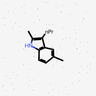 CCCc1c(C)[nH]c2ccc(C)cc12